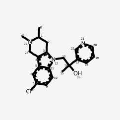 CC1Cc2c(c3cc(Cl)ccc3n2CC(C)(O)c2cccnc2)CN1C